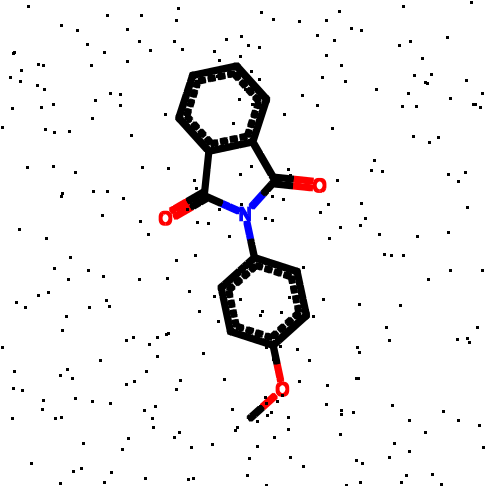 COc1ccc(N2C(=O)c3ccccc3C2=O)cc1